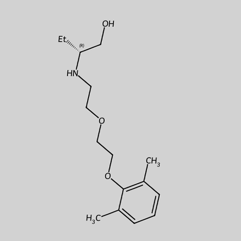 CC[C@H](CO)NCCOCCOc1c(C)cccc1C